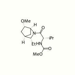 CC[C@@H]1[C@H]2C[C@H](OC)[C@H](C2)N1C(=O)[C@@H](NC(=O)OC)C(C)C